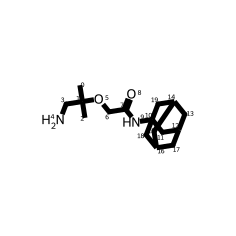 CC(C)(CN)OCC(=O)NC12CC3CC(CC(C3)C1)C2